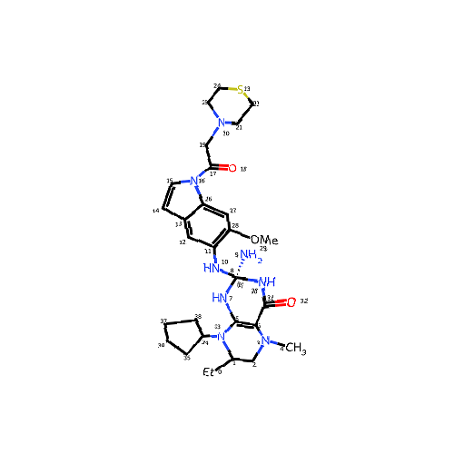 CCC1CN(C)C2=C(N[C@@](N)(Nc3cc4ccn(C(=O)CN5CCSCC5)c4cc3OC)NC2=O)N1C1CCCC1